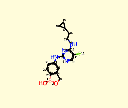 OB1OCc2cc(Nc3ncc(F)c(NCCC4CC4)n3)ccc21